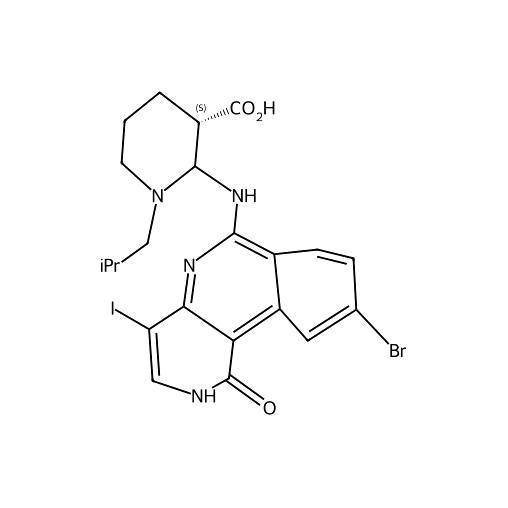 CC(C)CN1CCC[C@H](C(=O)O)C1Nc1nc2c(I)c[nH]c(=O)c2c2cc(Br)ccc12